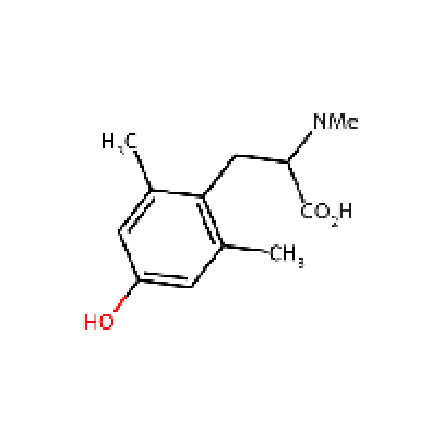 CNC(Cc1c(C)cc(O)cc1C)C(=O)O